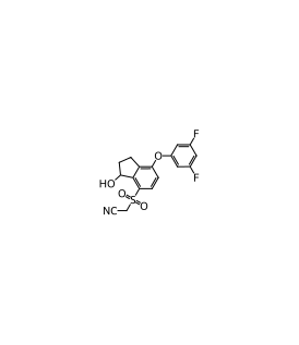 N#CCS(=O)(=O)c1ccc(Oc2cc(F)cc(F)c2)c2c1C(O)CC2